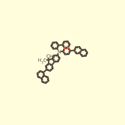 CC1(C)c2cc(-c3cccc4ccccc34)ccc2-c2ccc(N(c3ccc(-c4ccc5ccccc5c4)cc3)c3ccccc3-c3ccccc3)cc21